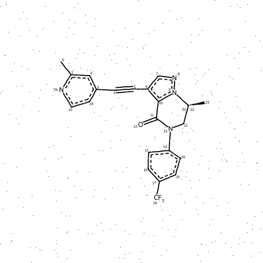 Cc1cc(C#Cc2cnn3c2C(=O)N(c2ccc(C(F)(F)F)cc2)C[C@@H]3C)ccn1